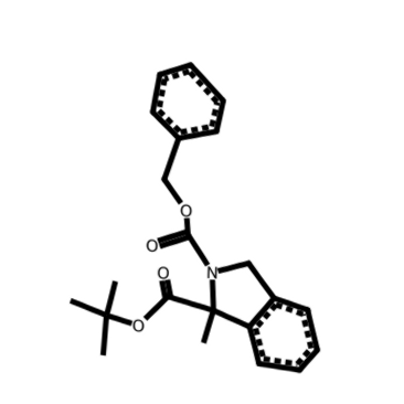 CC(C)(C)OC(=O)C1(C)c2ccccc2CN1C(=O)OCc1ccccc1